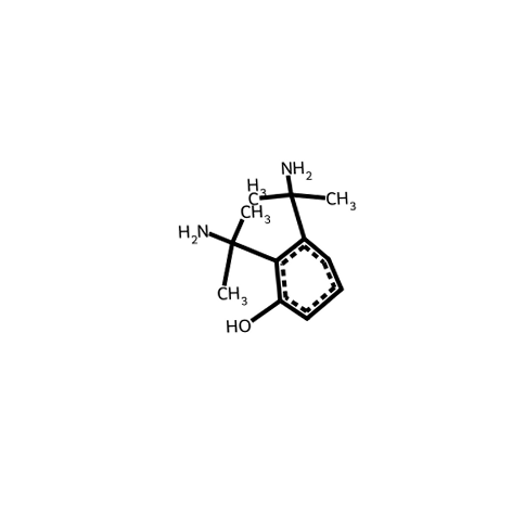 CC(C)(N)c1cccc(O)c1C(C)(C)N